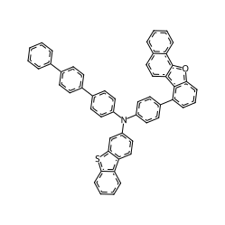 c1ccc(-c2ccc(-c3ccc(N(c4ccc(-c5cccc6oc7c8ccccc8ccc7c56)cc4)c4ccc5c(c4)sc4ccccc45)cc3)cc2)cc1